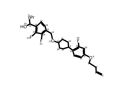 C=CCCOc1ccc(C2CCC(OCc3ccc(C(O)CCC)c(F)c3F)CC2)c(F)c1